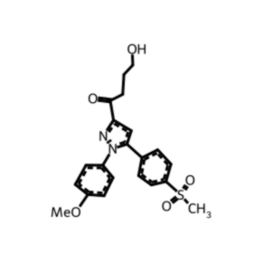 COc1ccc(-n2nc(C(=O)CCCO)cc2-c2ccc(S(C)(=O)=O)cc2)cc1